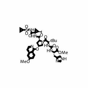 COC(=O)[C@H](Cc1c[nH]cn1)NC(=O)N[C@H](C(=O)N1C[C@H](Oc2nccc3cc(OC)ccc23)C[C@H]1C(=O)N[C@]1(C(=O)NS(=O)(=O)C2CC2)C[C@H]1I)C(C)(C)C